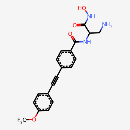 NCC(NC(=O)c1ccc(C#Cc2ccc(OC(F)(F)F)cc2)cc1)C(=O)NO